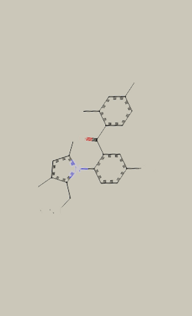 CC(=O)NCc1c(C)cc(C)n1-c1ccc(C(F)(F)F)cc1C(=O)c1ccc(C)cc1C